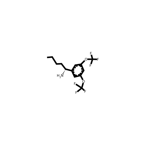 CCCC[C@@H](N)c1cc(OC(F)(F)F)cc(OC(F)(F)F)c1